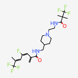 C=C(/C=C(F)\C=C(/C)C(F)(F)F)C(=O)NCC1CCN(CCNC(=O)C(C)(C)C(F)(F)F)CC1